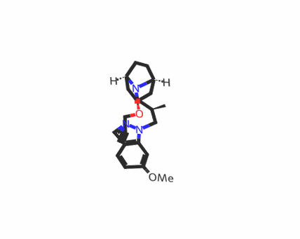 C#CCO[C@H]1C[C@H]2CC[C@@H](C1)N2C[C@@H](C)Cn1ncc2ccc(OC)cc21